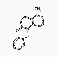 Cc1cccc2c1ccc(=O)n2Cc1ccccc1